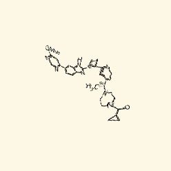 COc1cc(-c2ccc3nc(Nc4cc([C@@H](C)N5CCN(C(=O)C6CC6)CC5)ccn4)[nH]c3c2)ncn1